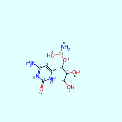 NP(O)OCC(O)CO.Nc1cc[nH]c(=O)n1